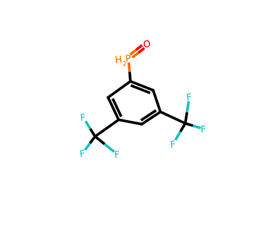 O=[PH2]c1cc(C(F)(F)F)cc(C(F)(F)F)c1